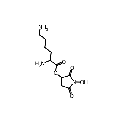 NCCCCC(N)C(=O)OC1CC(=O)N(O)C1=O